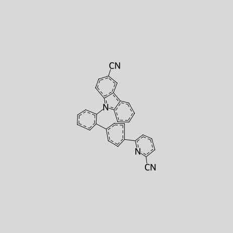 N#Cc1ccc2c(c1)c1ccccc1n2-c1ccccc1-c1ccc(-c2cccc(C#N)n2)cc1